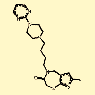 Cc1cc2c(s1)SCC(=O)N(CCCCN1CCN(c3ncccn3)CC1)C2